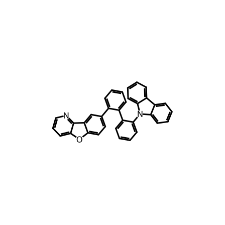 c1ccc(-c2ccccc2-n2c3ccccc3c3ccccc32)c(-c2ccc3oc4cccnc4c3c2)c1